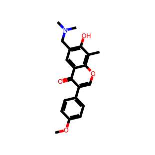 COc1ccc(-c2coc3c(C)c(O)c(CN(C)C)cc3c2=O)cc1